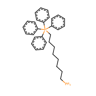 PCCCCCCCCP(c1ccccc1)(c1ccccc1)(c1ccccc1)c1ccccc1